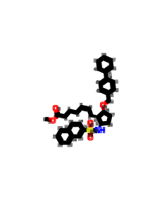 COC(=O)CCC/C=C\C[C@@H]1[C@@H](NS(=O)(=O)c2ccc3ccccc3c2)CC[C@@H]1OCc1ccc(-c2ccccc2)cc1